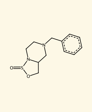 O=S1OCC2CN(Cc3ccccc3)CCN21